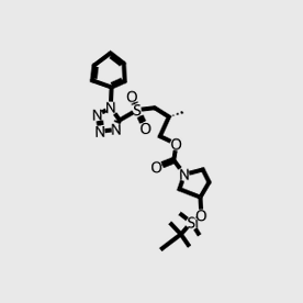 C[C@H](COC(=O)N1CCC(O[Si](C)(C)C(C)(C)C)C1)CS(=O)(=O)c1nnnn1-c1ccccc1